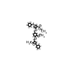 CCOC(=O)c1cn(Cc2ccccc2)nc1OCc1ccc(OCc2nc(-c3ccccc3)oc2C)c(OC)c1